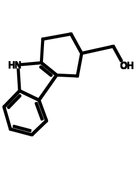 OCC1CCc2[nH]c3ccccc3c2C1